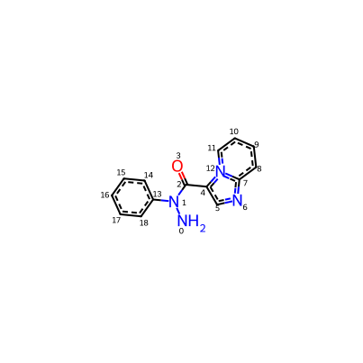 NN(C(=O)c1cnc2ccccn12)c1ccccc1